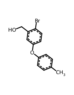 Cc1ccc(Oc2ccc(Br)c(CO)c2)cc1